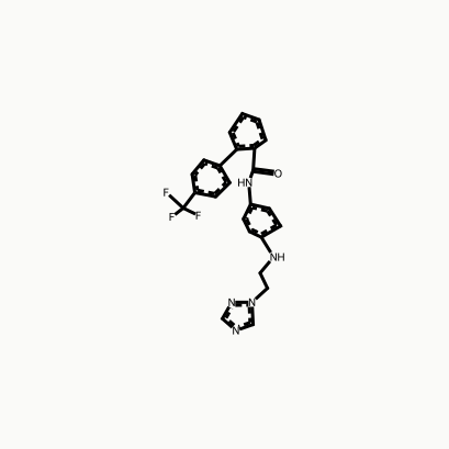 O=C(Nc1ccc(NCCn2cncn2)cc1)c1ccccc1-c1ccc(C(F)(F)F)cc1